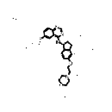 Fc1ccc2ncnc(NC3CCc4cc(OCCN5CCOCC5)ccc43)c2c1